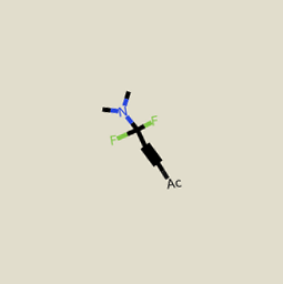 CC(=O)C#CC(F)(F)N(C)C